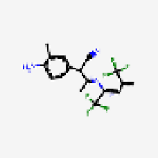 C=C(/C=C(\N=C(/C)C(C#N)c1ccc(N)c(C)c1)C(F)(F)F)C(F)(F)F